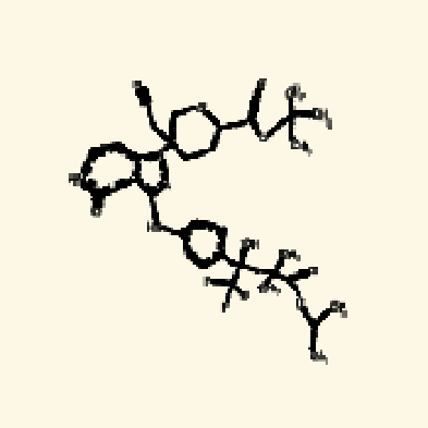 CC(C)OC(=O)C(C)(C)C(O)(c1ccc(Nc2nn(C3(CC#N)CCC(C(=O)OC(C)(C)C)OC3)c3cc[nH]c(=O)c23)cc1)C(F)(F)F